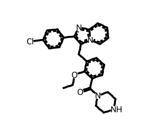 CCOc1c(Cc2c(-c3ccc(Cl)cc3)nc3ccccn23)cccc1C(=O)N1CCNCC1